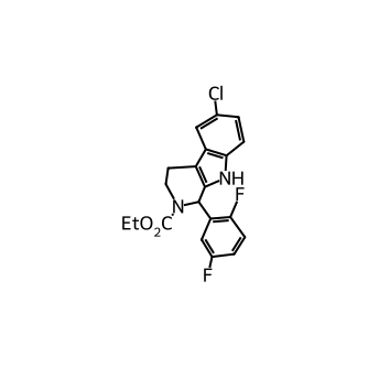 CCOC(=O)N1CCc2c([nH]c3ccc(Cl)cc23)C1c1cc(F)ccc1F